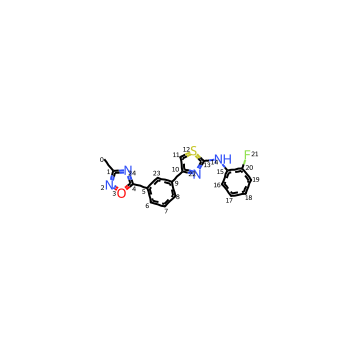 Cc1noc(-c2cccc(-c3csc(Nc4ccccc4F)n3)c2)n1